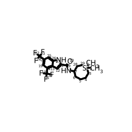 C[Si]1(C)CCCCC(NC(=O)c2cc3c(C(F)(F)F)cc(C(F)(F)F)cc3[nH]2)CC1